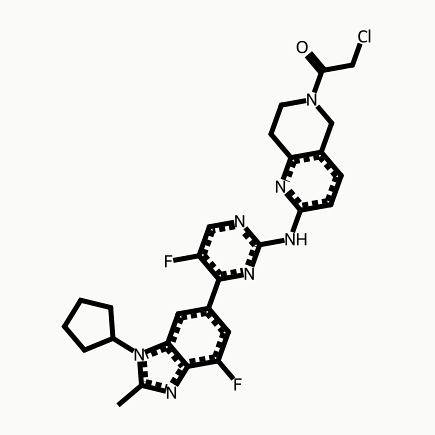 Cc1nc2c(F)cc(-c3nc(Nc4ccc5c(n4)CCN(C(=O)CCl)C5)ncc3F)cc2n1C1CCCC1